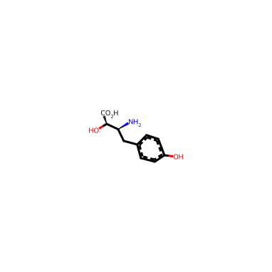 N[C@@H](Cc1ccc(O)cc1)[C@@H](O)C(=O)O